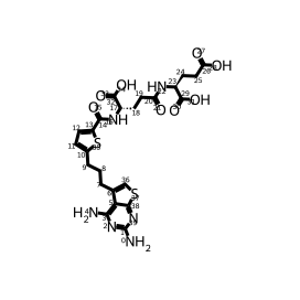 Nc1nc(N)c2c(CCCc3ccc(C(=O)N[C@@H](CCC(=O)N[C@@H](CCC(=O)O)C(=O)O)C(=O)O)s3)csc2n1